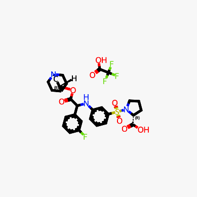 O=C(O)C(F)(F)F.O=C(O[C@H]1CN2CCC1CC2)C(Nc1cccc(S(=O)(=O)N2CCC[C@@H]2C(=O)O)c1)c1cccc(F)c1